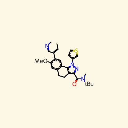 C/C=C(\C=N/C)c1cc2c(cc1OC)CCc1c(C(=O)N(C)C(C)(C)C)nn(-c3ccsc3)c1-2